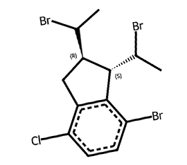 CC(Br)[C@@H]1Cc2c(Cl)ccc(Br)c2[C@H]1C(C)Br